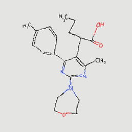 CCCC(C(=O)O)c1c(C)nc(N2CCOCC2)nc1-c1ccc(C)cc1